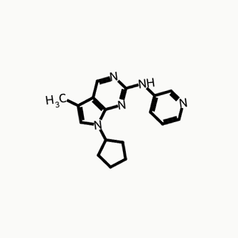 Cc1cn(C2CCCC2)c2nc(Nc3cccnc3)ncc12